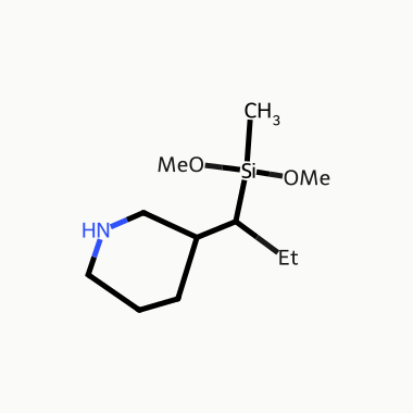 CCC(C1CCCNC1)[Si](C)(OC)OC